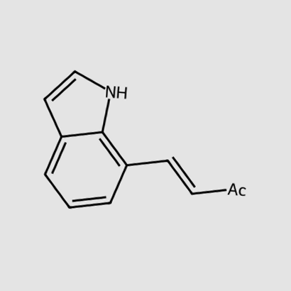 CC(=O)C=Cc1cccc2cc[nH]c12